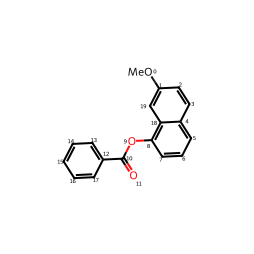 COc1ccc2cccc(OC(=O)c3ccccc3)c2c1